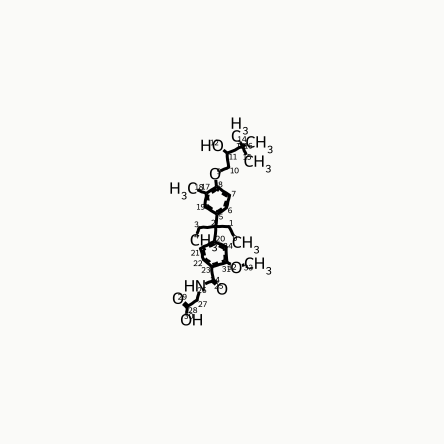 CCC(CC)(c1ccc(OCC(O)C(C)(C)C)c(C)c1)c1ccc(C(=O)NCC(=O)O)c(OC)c1